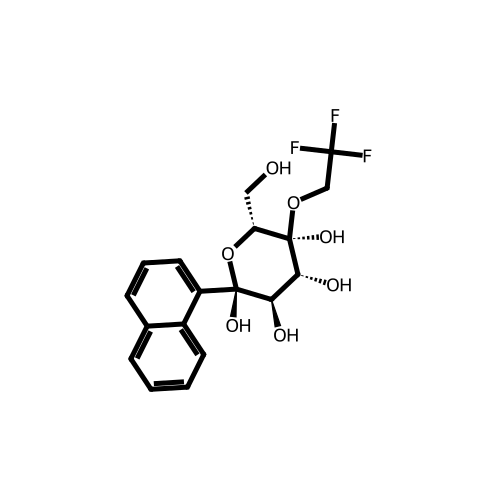 OC[C@H]1O[C@@](O)(c2cccc3ccccc23)[C@H](O)[C@@H](O)[C@]1(O)OCC(F)(F)F